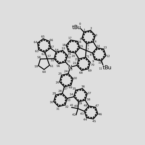 CC(C)(C)c1ccc2c(c1)C1(c3cc(C(C)(C)C)ccc3-2)c2ccccc2-c2c(N(c3ccc(-c4ccccc4-c4cccc5c4C(C)(C)c4ccccc4-5)cc3)c3ccc4c(c3)C3(CCCC3)c3ccccc3-4)cccc21